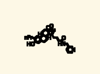 CCCc1cc2c(cc1O)CC[C@H]1[C@@H]3[C@H](CCCC(=O)NCc4cccnc4)CC(=O)[C@@]3(C)CC[C@H]21